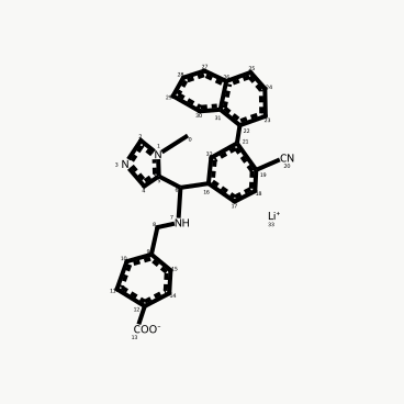 Cn1cncc1C(NCc1ccc(C(=O)[O-])cc1)c1ccc(C#N)c(-c2cccc3ccccc23)c1.[Li+]